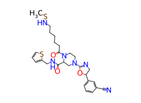 CSNCCCCCC(=O)N1CCN(C2=NCC(c3cccc(C#N)c3)O2)CC1C(=O)NCc1cccs1